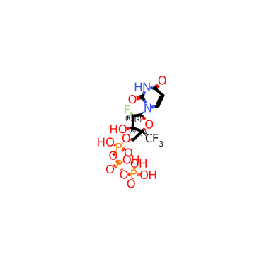 O=c1ccn([C@@H]2O[C@@](COP(=O)(O)OP(=O)(O)OP(=O)(O)O)(C(F)(F)F)[C@@H](O)[C@H]2F)c(=O)[nH]1